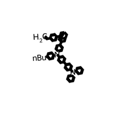 C=Cc1ccc(C23CC4CC(C2)CC(c2ccc(N(c5ccc(CCCC)cc5)c5ccc(-c6ccc(N(c7ccccc7)c7ccccc7)cc6)cc5)cc2)(C4)C3)cc1